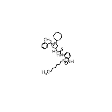 CCCCCCCN1ONc2cccc(NC(=S)NC3CN(Cc4ccccc4C)N(C4CCCCCCC4)C3)c21